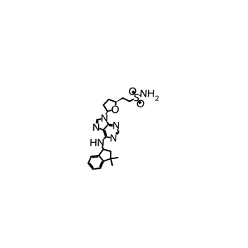 CC1(C)CC(Nc2ncnc3c2ncn3[C@H]2CC[C@@H](CCS(N)(=O)=O)O2)c2ccccc21